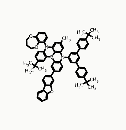 Cc1cc2c3c(c1)N(c1cccc4c1OCCCO4)c1ccc(C(C)(C)C)cc1B3c1cc(-c3ccc4c(c3)sc3ccccc34)ccc1N2c1cc(-c2ccc(C(C)(C)C)cc2)cc(-c2ccc(C(C)(C)C)cc2)c1